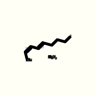 CCCC/C=C\C=C\CCCI.[MgH2]